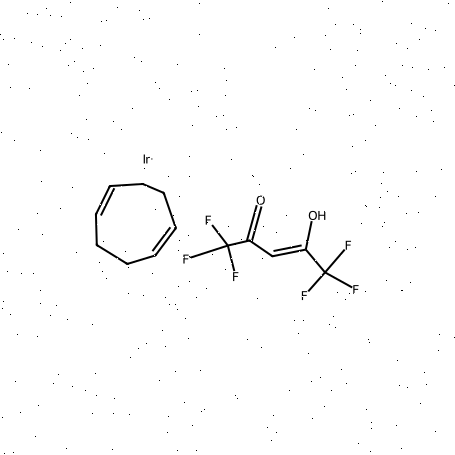 C1=CCCC=CCC1.O=C(C=C(O)C(F)(F)F)C(F)(F)F.[Ir]